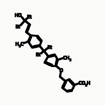 CCC(O)(C=Cc1ccc(C(CC)(CC)c2ccc(OCc3cccc(C(=O)O)c3)c(C)c2)cc1C)CC